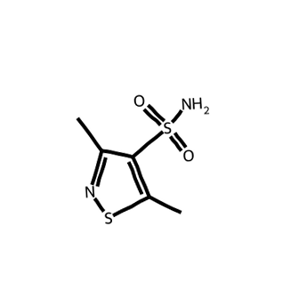 Cc1nsc(C)c1S(N)(=O)=O